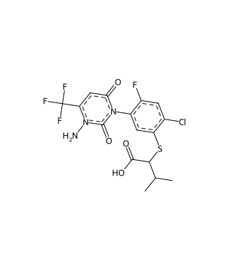 CC(C)C(Sc1cc(-n2c(=O)cc(C(F)(F)F)n(N)c2=O)c(F)cc1Cl)C(=O)O